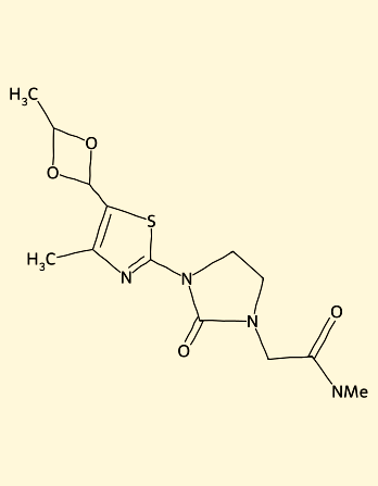 CNC(=O)CN1CCN(c2nc(C)c(C3OC(C)O3)s2)C1=O